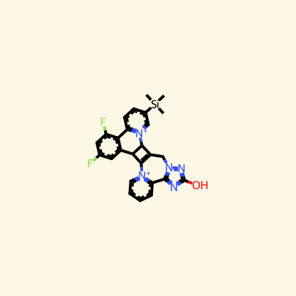 C[Si](C)(C)c1ccc2[n+](c1)C1C3=C(C1c1cc(F)cc(F)c1-2)[n+]1ccccc1-c1nc(O)nn1C3